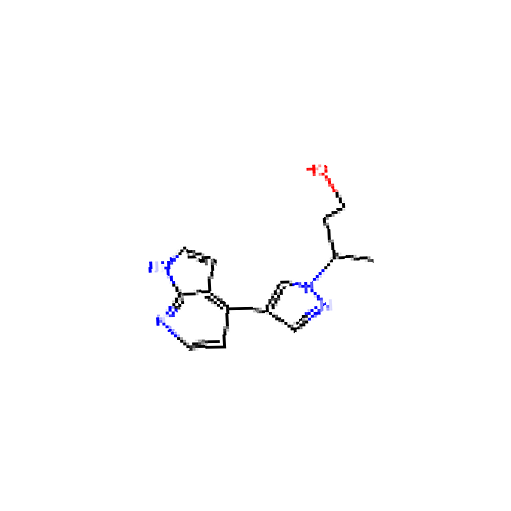 CC(CCO)n1cc(-c2ccnc3[nH]ccc23)cn1